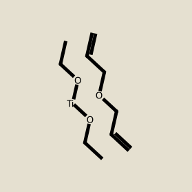 C=CCOCC=C.CC[O][Ti][O]CC